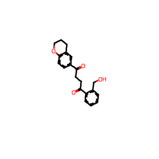 O=C(CCC(=O)c1ccccc1CO)c1ccc2c(c1)CCCO2